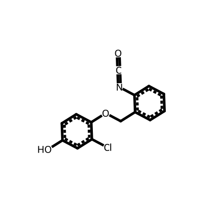 O=C=Nc1ccccc1COc1ccc(O)cc1Cl